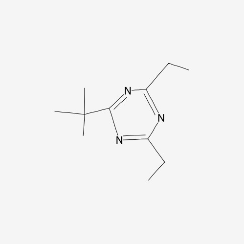 CCc1nc(CC)nc(C(C)(C)C)n1